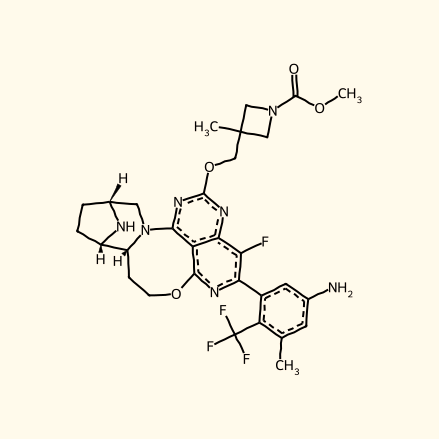 COC(=O)N1CC(C)(COc2nc3c4c(nc(-c5cc(N)cc(C)c5C(F)(F)F)c(F)c4n2)OCC[C@@H]2[C@@H]4CC[C@H](CN32)N4)C1